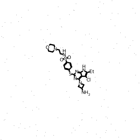 CCc1[nH]c2nc(Sc3ccc(S(=O)(=O)NCCN4CCOCC4)cc3)nc(N3CC(N)C3)c2c1Cl